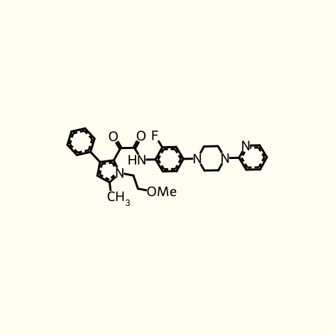 COCCn1c(C)cc(-c2ccccc2)c1C(=O)C(=O)Nc1ccc(N2CCN(c3ccccn3)CC2)cc1F